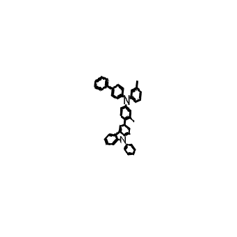 Cc1cccc(N(c2ccc(-c3ccccc3)cc2)c2ccc(-c3ccc4c(c3)c3ccccc3n4-c3ccccc3)c(C)c2)c1